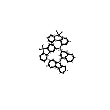 CC1(C)c2ccccc2-c2cc(N(c3cc(-n4c5ccccc5c5ccccc54)c4ccccc4c3)c3cccc4c3-c3ccccc3C4(C)C)ccc21